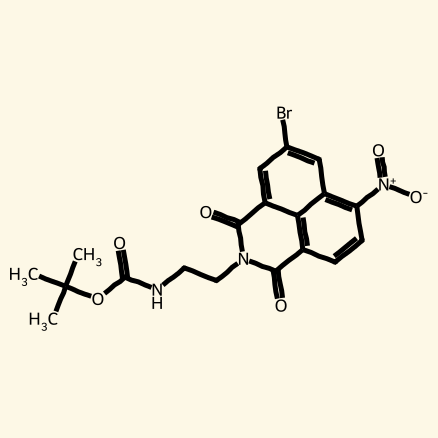 CC(C)(C)OC(=O)NCCN1C(=O)c2ccc([N+](=O)[O-])c3cc(Br)cc(c23)C1=O